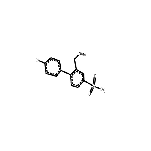 COCc1cc(S(C)(=O)=O)ccc1-c1ccc(Cl)cc1